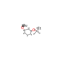 CCC(C)(C)OC1CCCC(OC(C)(C)C)C1